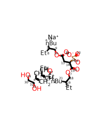 C=CC.C=CC.CCCCC(CC)COC(=O)CC(C(=O)OCC(CC)CCCC)S(=O)(=O)[O-].CCOCC.OCCO.[Na+]